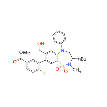 CCCCC1CN(c2ccccc2)c2cc(CO)c(-c3cc(C(=O)OC)ccc3F)cc2S(=O)(=O)N1C